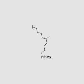 CCCCCCCCCCC(C)CCCCI